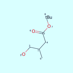 CC(C[O])CC(=O)OC(C)(C)C